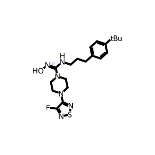 CC(C)(C)c1ccc(CCCN/C(=N/O)N2CCN(c3nsnc3F)CC2)cc1